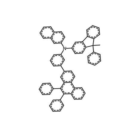 CC1(c2ccccc2)c2ccccc2-c2cc(N(c3cccc(-c4ccc5c(c4)c(-c4ccccc4)c(-c4ccccc4)c4ccccc45)c3)c3ccc4ccccc4c3)ccc21